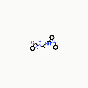 CC(CNCc1cn(Cc2ccccc2)c2ccccc12)CNc1cc(=O)c2ccccc2[nH]1